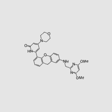 COc1cc(OC)nc(CNc2ccc3c(c2)Cc2cccc(-c4cc(N5CCOCC5)cc(=O)[nH]4)c2O3)n1